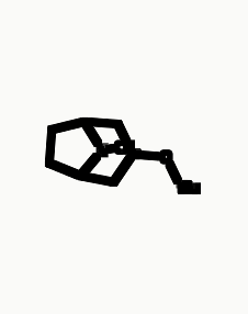 CN1C2CCC1CC(OC(C)(C)C)C2